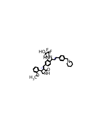 COc1ccccc1C1CNC(=O)/C1=C\c1ccc2c(/C=C/c3ccc(CN4CCCCC4)cc3)n[nH]c2c1.O=C(O)C(F)(F)F